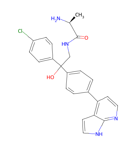 C[C@H](N)C(=O)NCC(O)(c1ccc(Cl)cc1)c1ccc(-c2ccnc3[nH]ccc23)cc1